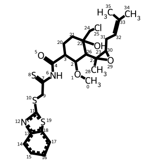 COC1C(C(=O)NC(=S)CSc2nc3ccccc3s2)CCC(O)(CCl)C1C1(C)OC1CC=C(C)C